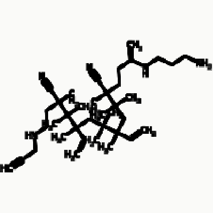 C#CCNCCC(C)(C#N)C(C)(C)C(C)(C=C)CC(C)(C)C(C)(C=C)CC(C)(C)C(C)(C#N)CCC(=C)NCCCN